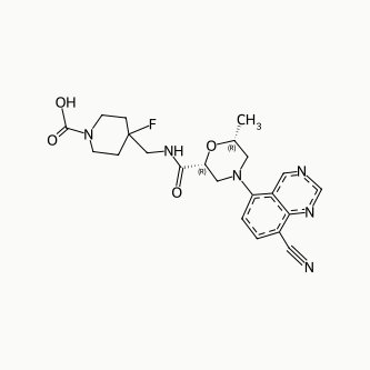 C[C@@H]1CN(c2ccc(C#N)c3ncncc23)C[C@H](C(=O)NCC2(F)CCN(C(=O)O)CC2)O1